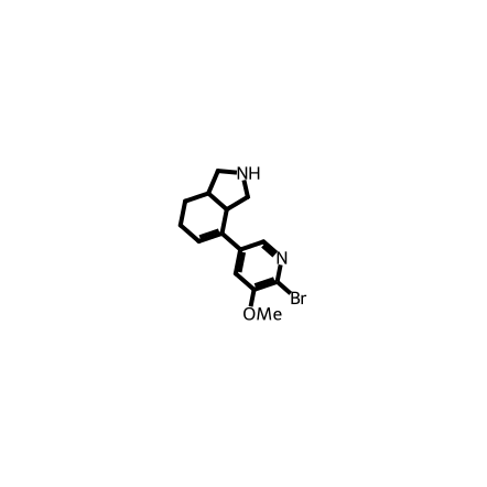 COc1cc(C2=CCCC3CNCC23)cnc1Br